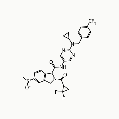 C[S+]([O-])c1ccc2c(c1)CN(C(=O)C1CC1(F)F)C2C(=O)Nc1cnc(N(Cc2ccc(C(F)(F)F)cc2)C2CC2)nc1